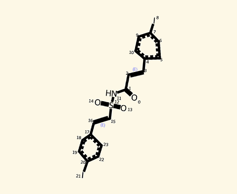 O=C(/C=C/c1ccc(I)cc1)NS(=O)(=O)/C=C/c1ccc(I)cc1